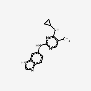 Cc1cnc(Nc2ccc3nc[nH]c3c2)nc1NC1CC1